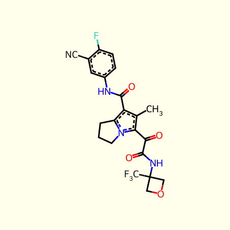 Cc1c(C(=O)Nc2ccc(F)c(C#N)c2)c2n(c1C(=O)C(=O)NC1(C(F)(F)F)COC1)CCC2